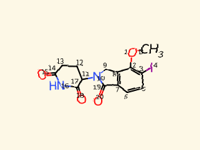 COc1c(I)ccc2c1CN(C1CCC(=O)NC1=O)C2=O